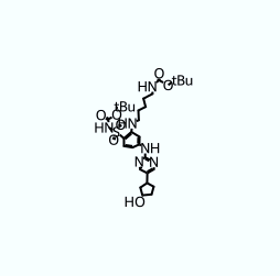 CC(C)(C)OC(=O)NCCCCCNc1cc(Nc2ncc(C3CCC(O)C3)cn2)ccc1S(=O)(=O)NC(=O)OC(C)(C)C